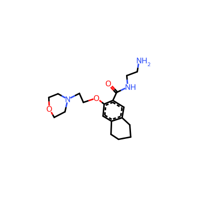 NCCNC(=O)c1cc2c(cc1OCCN1CCOCC1)CCCC2